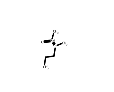 CCCS(C)=[SH](C)=O